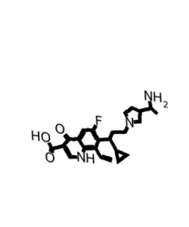 C=Cc1c(C(CCN2CCC(C(C)N)C2)C2CC2)c(F)cc2c(=O)c(C(=O)O)c[nH]c12